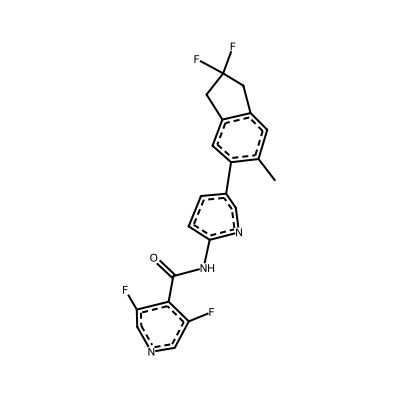 Cc1cc2c(cc1-c1ccc(NC(=O)c3c(F)cncc3F)nc1)CC(F)(F)C2